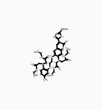 CC(=O)Nc1nnc(-c2cc3cc(OCCOc4cc(C)ccc4N(CC(=O)OCOC(C)=O)CC(=O)OCOC(C)=O)c(N(CC(=O)OCOC(C)=O)CC(=O)OCOC(C)=O)cc3oc2=O)s1